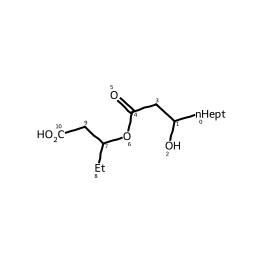 CCCCCCCC(O)CC(=O)OC(CC)CC(=O)O